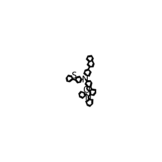 c1ccc(N(c2ccccc2)c2cccc3c2oc2cc(N(c4ccc(-c5ccc6ccccc6c5)cc4)c4ccc5c(c4)sc4ccccc45)ccc23)cc1